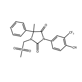 CC1(c2cc[c]cc2)C(=O)N(c2ccc(C#N)c(C(F)(F)F)c2)C(=O)N1CS(C)(=O)=O